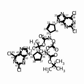 CC(C)(C)OC(=O)N(OC(=O)ON(C(=O)OC(C)(C)C)[C@@H]1C=C[C@H](n2cnc3c(Cl)nc(Cl)nc32)C1)[C@@H]1C=C[C@H](n2cnc3c(Cl)nc(Cl)nc32)C1